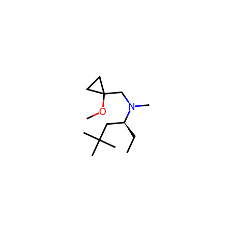 CC[C@@H](CC(C)(C)C)N(C)CC1(OC)CC1